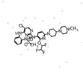 CN1CCN(C2CCN(c3ccc(Nc4ncc(Cl)c(Nc5ccccc5NS(C)(=O)=O)n4)c(OC(F)C(F)F)n3)CC2)CC1